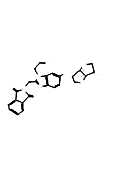 C[C@H](O)Cn1c(CN2C(=O)c3ccccc3C2=O)nc2ccc(O[C@H]3CO[C@H]4[C@@H]3OC[C@@H]4O)cc21